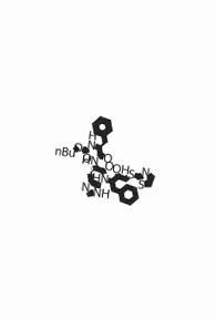 CCCCOC(=O)N[C@@H](Cc1ccccc1)C(=O)N[C@@H](Cc1c[nH]cn1)C(=O)NC(CC1CCCCC1)C(O)CSc1nccs1